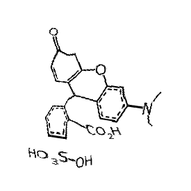 CN(C)c1ccc2c(c1)OC1=C(C=CC(=O)C1)C2c1ccccc1C(=O)O.O=S(=O)(O)O